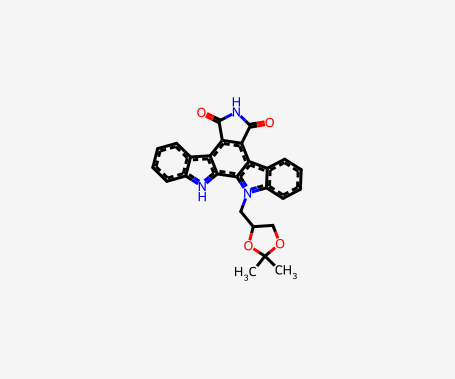 CC1(C)OCC(Cn2c3ccccc3c3c4c(c5c6ccccc6[nH]c5c32)C(=O)NC4=O)O1